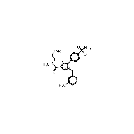 COCCN(C)C(=O)c1cn(Cc2cccc(C)c2)c(-c2ccc(S(N)(=O)=O)cc2)n1